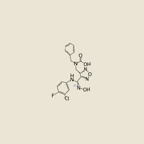 O=C(O)N(Cc1ccccc1)Cc1nonc1/C(=N\O)Nc1ccc(F)c(Cl)c1